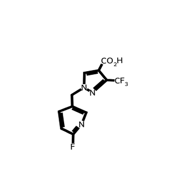 O=C(O)c1cn(Cc2ccc(F)nc2)nc1C(F)(F)F